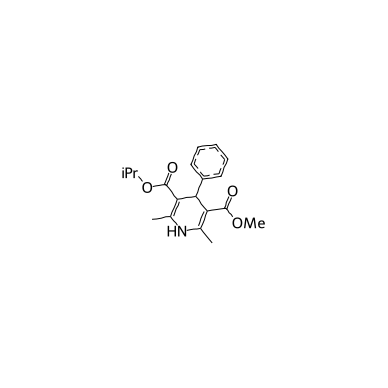 COC(=O)C1=C(C)NC(C)=C(C(=O)OC(C)C)C1c1ccccc1